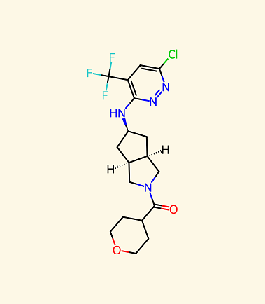 O=C(C1CCOCC1)N1C[C@H]2C[C@@H](Nc3nnc(Cl)cc3C(F)(F)F)C[C@H]2C1